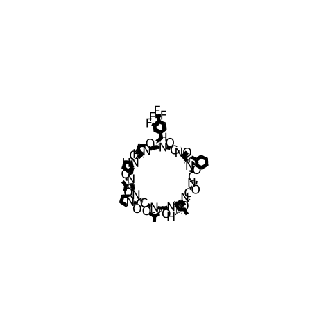 CC[C@H](C)[C@@H]1NC(=O)[C@H](CC(C)C)N(C)C(=O)C[C@@H](C(=O)N2CCCC2)N(C)C(=O)[C@H](C(C)C)N(C)C(=O)C2(CCCC2)NC(=O)[C@@H]2CCCN2C(=O)[C@H](CCc2ccc(C(F)(F)F)c(F)c2)NC(=O)CN(C)C(=O)[C@H](CC2CCCCC2)N(C)C(=O)CN(C)C(=O)CN(C)C1=O